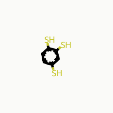 Sc1ccc(S)c(S)c1